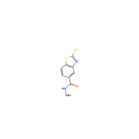 CCCCNC(=O)c1ccc2sc(S)nc2c1